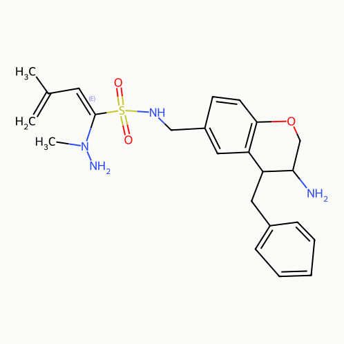 C=C(C)/C=C(\N(C)N)S(=O)(=O)NCc1ccc2c(c1)C(Cc1ccccc1)C(N)CO2